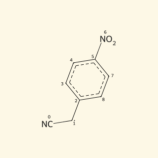 N#C[CH]c1ccc([N+](=O)[O-])cc1